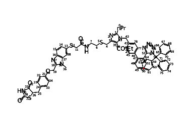 CCCc1nc(CSCCNC(=O)CSc2ccc3nc(COc4ccc(CC5SC(=O)NC5=O)cc4)n(C)c3c2)c(C(=O)OCC)n1Cc1ccc(-c2ccccc2-c2nnnn2C(c2ccccc2)(c2ccccc2)c2ccccc2)cc1